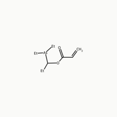 C=CC(=O)OC(CC)[As](CC)CC